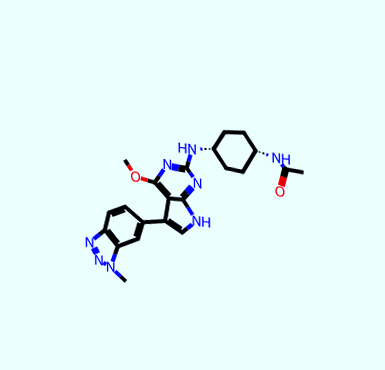 COc1nc(N[C@H]2CC[C@@H](NC(C)=O)CC2)nc2[nH]cc(-c3ccc4nnn(C)c4c3)c12